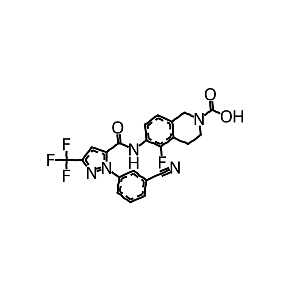 N#Cc1cccc(-n2nc(C(F)(F)F)cc2C(=O)Nc2ccc3c(c2F)CCN(C(=O)O)C3)c1